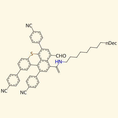 C=C(NCCCCCCCCCCCCCCCCCC)c1cc(-c2ccc(C#N)cc2)c2c3c(c(-c4ccc(C#N)cc4)cc(C=O)c13)Sc1ccc(-c3ccc(C#N)cc3)cc1-2